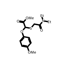 CCN(CC)C(=O)CSC(Oc1ccc(OC)cc1)C(=O)OC